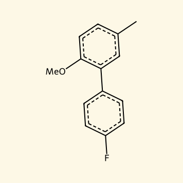 COc1ccc(C)cc1-c1ccc(F)cc1